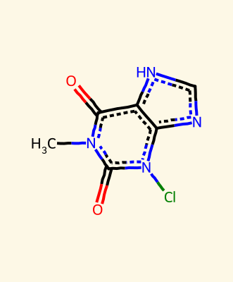 Cn1c(=O)c2[nH]cnc2n(Cl)c1=O